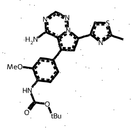 COc1cc(-c2cc(-c3csc(C)n3)n3ncnc(N)c23)ccc1NC(=O)OC(C)(C)C